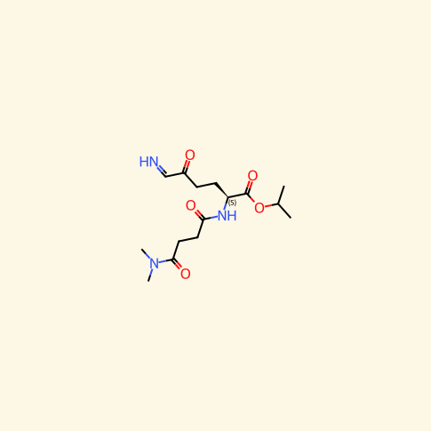 CC(C)OC(=O)[C@H](CCC(=O)C=N)NC(=O)CCC(=O)N(C)C